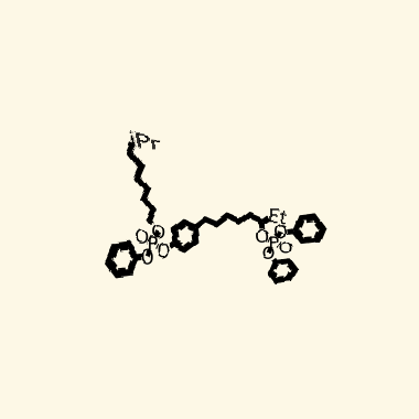 CCC(CCCCCc1ccc(OP(=O)(OCCCCCCCC(C)C)Oc2ccccc2)cc1)OP(=O)(Oc1ccccc1)Oc1ccccc1